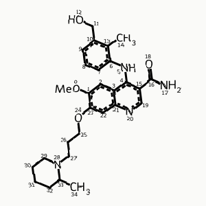 COc1cc2c(Nc3cccc(CO)c3C)c(C(N)=O)cnc2cc1OCCCN1CCCCC1C